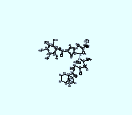 CCNC(=O)O[C@H](CC(C(C)C)N(C)C(=O)[C@@H](NC(=O)C12CCCC(CCC1)N2C)[C@@H](C)CC)c1nc(C(=O)Oc2c(F)c(F)c(F)c(F)c2F)cs1